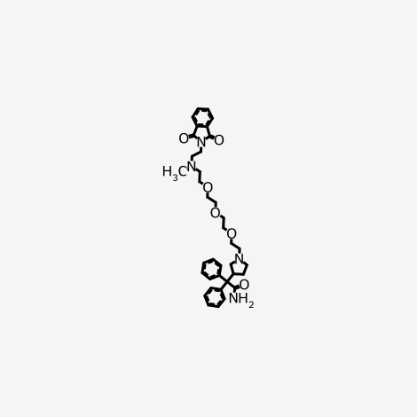 CN(CCOCCOCCOCCN1CCC(C(C(N)=O)(c2ccccc2)c2ccccc2)C1)CCN1C(=O)c2ccccc2C1=O